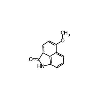 COc1ccc2c3c(cccc13)NC2=O